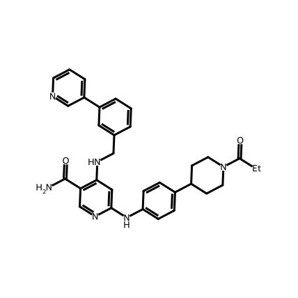 CCC(=O)N1CCC(c2ccc(Nc3cc(NCc4cccc(-c5cccnc5)c4)c(C(N)=O)cn3)cc2)CC1